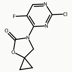 O=C1OC2(CC2)CN1c1nc(Cl)ncc1F